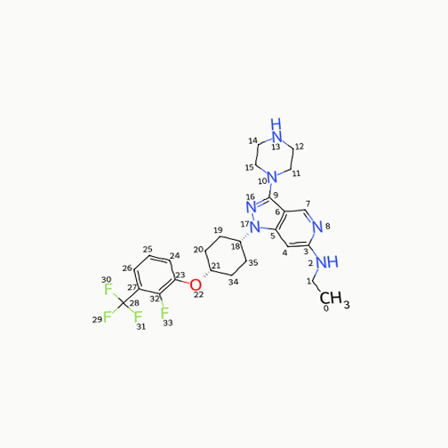 CCNc1cc2c(cn1)c(N1CCNCC1)nn2[C@H]1CC[C@@H](Oc2cccc(C(F)(F)F)c2F)CC1